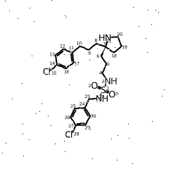 O=S(=O)(NCCC[C@]1(CCCc2ccc(Cl)cc2)CCCN1)NCc1ccc(Cl)cc1